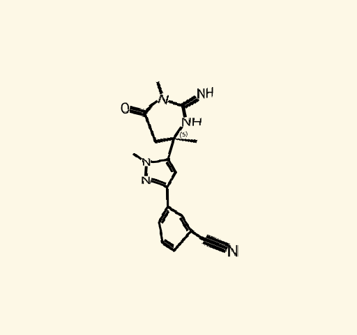 CN1C(=N)N[C@](C)(c2cc(-c3cccc(C#N)c3)nn2C)CC1=O